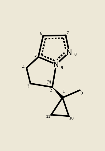 CC1([C@H]2CCc3ccnn32)CC1